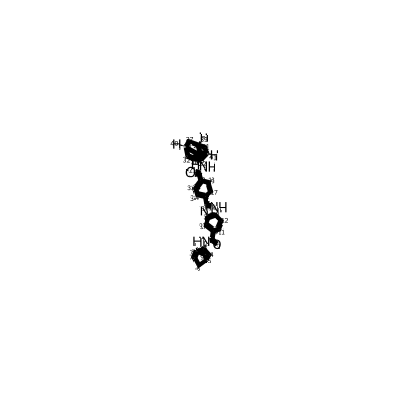 O=C(NC1CC2CCC1C2)c1ccc2[nH]c(-c3ccc(C(=O)NC4[C@H]5C[C@@H]6C[C@@H](C[C@H]4C6)C5)cc3)nc2c1